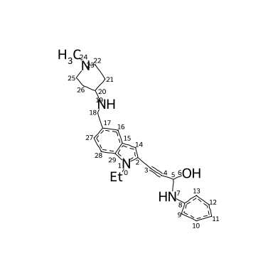 CCn1c(C#CC(O)Nc2ccccc2)cc2cc(CNC3CCN(C)CC3)ccc21